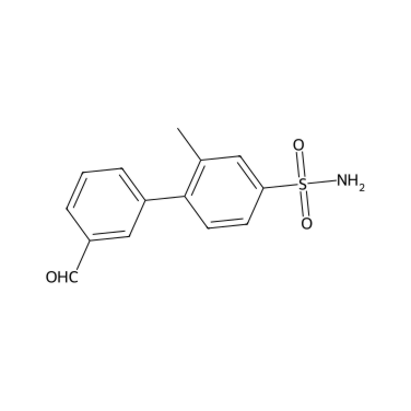 Cc1cc(S(N)(=O)=O)ccc1-c1cccc(C=O)c1